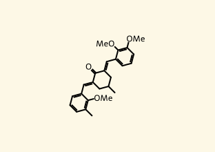 COc1cccc(/C=C2\CC(C)C/C(=C\c3cccc(C)c3OC)C2=O)c1OC